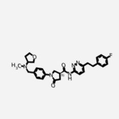 CN(Cc1ccc(N2C[C@@H](C(=O)Nc3ccc(CCc4ccc(F)cc4)nn3)CC2=O)cc1)C1CCOC1